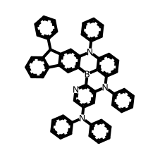 c1ccc(C2c3ccccc3-c3cc4c(cc32)N(c2ccccc2)c2cccc3c2B4c2ncc(N(c4ccccc4)c4ccccc4)cc2N3c2ccccc2)cc1